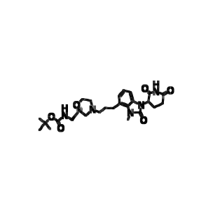 Cn1c(=O)n(C2CCC(=O)NC2=O)c2cccc(CCCN3CCO[C@H](CNC(=O)OC(C)(C)C)C3)c21